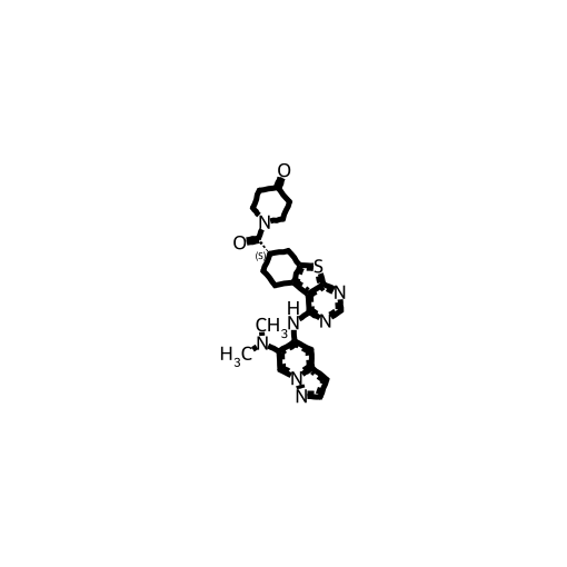 CN(C)c1cn2nccc2cc1Nc1ncnc2sc3c(c12)CC[C@H](C(=O)N1CCC(=O)CC1)C3